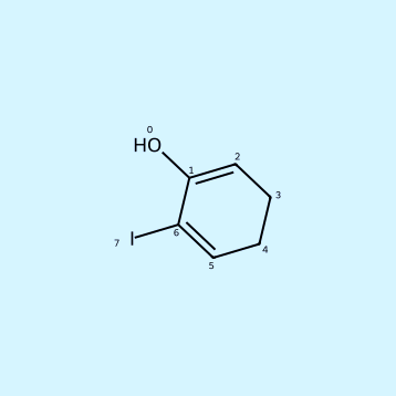 OC1=CCCC=C1I